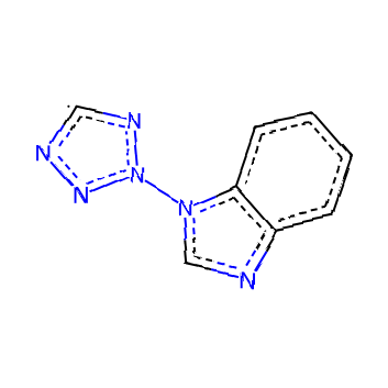 [c]1nnn(-n2cnc3ccccc32)n1